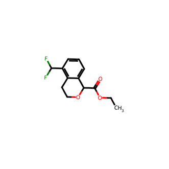 CCOC(=O)C1OCCc2c(C(F)F)cccc21